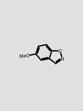 COc1ccc2on[c]c2c1